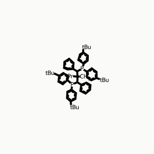 CC(C)C(C)(C(c1ccccc1)P(c1ccc(C(C)(C)C)cc1)c1ccc(C(C)(C)C)cc1)C(c1ccccc1)P(c1ccc(C(C)(C)C)cc1)c1ccc(C(C)(C)C)cc1